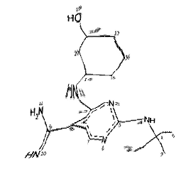 CC(C)(C)Nc1ncc(C(=N)N)c(NC2CCCC(O)C2)n1